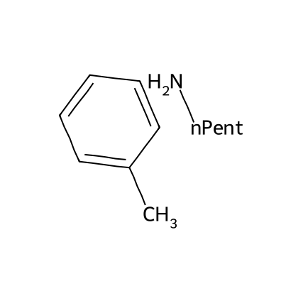 CCCCCN.Cc1ccccc1